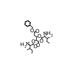 CCC(C)C(N)C(=O)OC([C]=O)C(CC(=O)OCc1ccccc1)OC(=O)C(N)C(C)CC